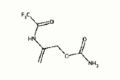 C=C(COC(N)=O)NC(=O)C(F)(F)F